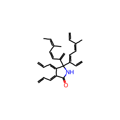 C=C/C=C1/C(=O)NC(C(=C)/C=C\C(C)=C/C)(/C(C=C)=C/C=C(/C)C=C)/C1=C/C=C